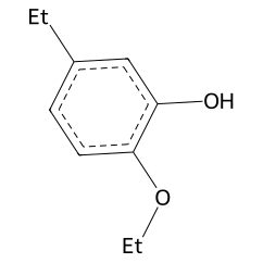 CCOc1ccc(CC)cc1O